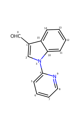 O=Cc1cn(-c2ccccn2)c2ccccc12